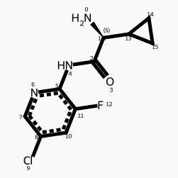 N[C@H](C(=O)Nc1ncc(Cl)cc1F)C1CC1